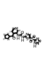 O=C(Nc1ncc(S(=O)(=O)c2nnn[nH]2)s1)Nc1cnccc1C(=O)C1CCCC1